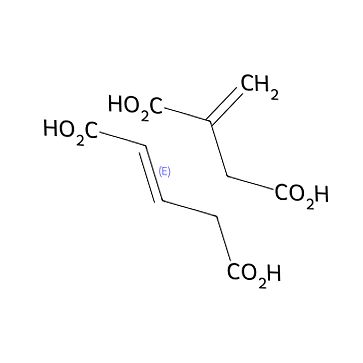 C=C(CC(=O)O)C(=O)O.O=C(O)/C=C/CC(=O)O